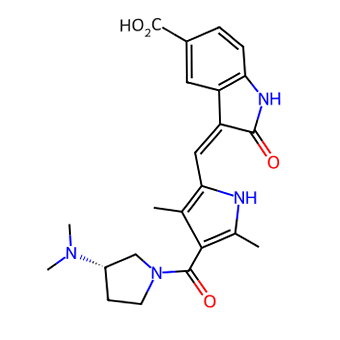 Cc1[nH]c(/C=C2\C(=O)Nc3ccc(C(=O)O)cc32)c(C)c1C(=O)N1CC[C@H](N(C)C)C1